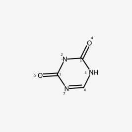 O=C1[N]C(=O)NC=N1